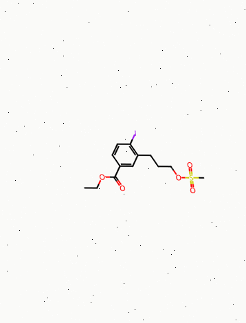 CCOC(=O)c1ccc(I)c(CCCOS(C)(=O)=O)c1